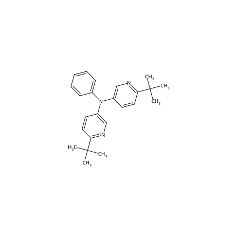 CC(C)(C)c1ccc(N(c2ccccc2)c2ccc(C(C)(C)C)nc2)cn1